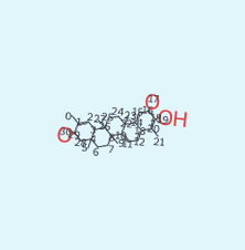 CC1=CC2C(C)(CCC3(C)C4=CC=C5C(=CC(=O)C(O)=C5C)C4(C)CCC23C)CC1=O